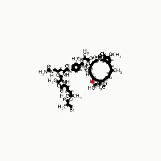 C=C(CBr)C(=O)OC(C)(C)CCCC(C=O)N[C@H](C(=O)N[C@@H](CCCNC(N)=O)C(=O)Nc1ccc(C(=O)N(C)[C@@H](C)C(=O)O[C@H]2CC(=O)N(C)c3cc(cc(OC)c3Cl)C/C(C)=C/C=C/[C@@H](OC)[C@@]3(O)C[C@@H](C[C@@H]4O[C@@]24C)OC(O)N3)cc1)C(C)C